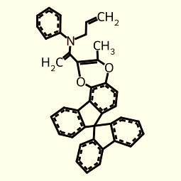 C=CCN(C(=C)C1=C(C)Oc2ccc3c(c2O1)-c1ccccc1C31c2ccccc2-c2ccccc21)c1ccccc1